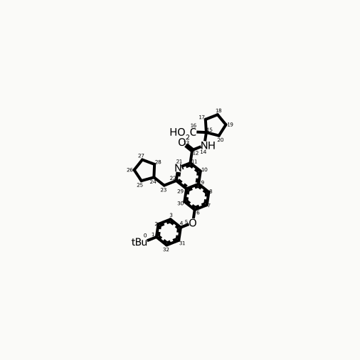 CC(C)(C)c1ccc(Oc2ccc3cc(C(=O)NC4(C(=O)O)CCCC4)nc(CC4CCCC4)c3c2)cc1